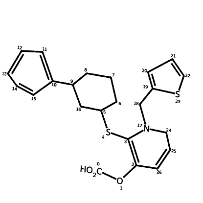 O=C(O)OC1=C(SC2CCCC(c3ccccc3)C2)N(Cc2cccs2)CC=C1